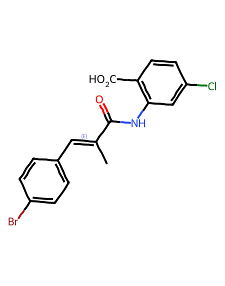 C/C(=C\c1ccc(Br)cc1)C(=O)Nc1cc(Cl)ccc1C(=O)O